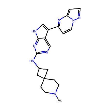 CC(=O)N1CCC2(CC1)CC(Nc1ncc3c(-c4ccn5nccc5n4)c[nH]c3n1)C2